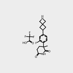 CC1(c2ccc(C3CC4(CNC4)C3)cc2F)CCC(=O)NC1=O.O=C(O)C(F)(F)F